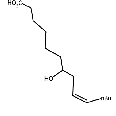 CCCC/C=C\CC(O)CCCCCC(=O)O